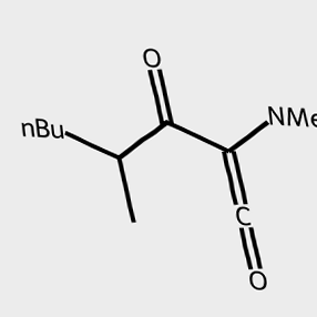 CCCCC(C)C(=O)C(=C=O)NC